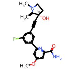 C=C1N(C)CC[C@@]1(O)C#Cc1cc(F)cc(-c2cc(OC)cc(C(N)=O)n2)c1